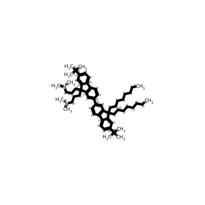 CCCCCCCCC1(CCCCCCCC)c2cc(-c3ccc4c(c3)C(CCCN(C)C)(CCCN(C)C)c3cc(C(C)(C)C)ccc3-4)ccc2-c2ccc(C(C)(C)C)cc21